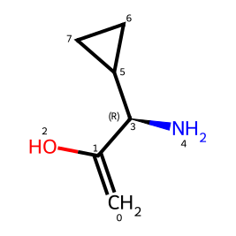 C=C(O)[C@H](N)C1CC1